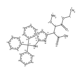 CCOC(=O)C(ON)C(C(=O)O)c1csc(NC(c2ccccc2)(c2ccccc2)c2ccccc2)n1